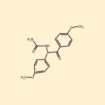 COc1ccc(C(=O)N(NC(N)=O)c2ccc(OC)cc2)cc1